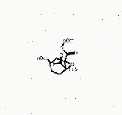 CCCCCCCCOC(=O)C12CCCCC1(C(=O)OCCCCCCCC)O2.S